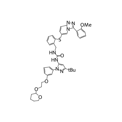 COc1ccccc1-c1nnc2ccc(Sc3ccccc3CNC(=O)Nc3cc(C(C)(C)C)nn3-c3cccc(OCCOC4CCCCO4)c3)cn12